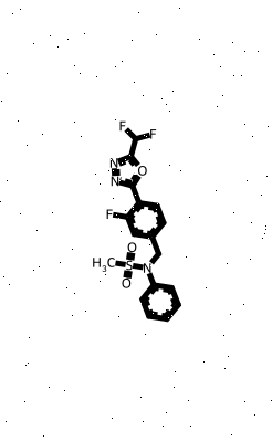 CS(=O)(=O)N(Cc1ccc(-c2nnc(C(F)F)o2)c(F)c1)c1ccccc1